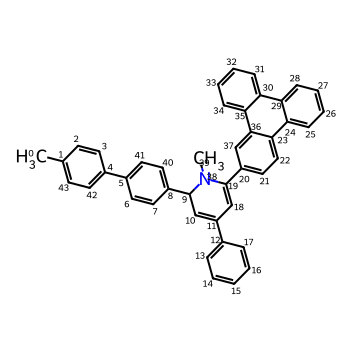 Cc1ccc(-c2ccc(C3C=C(c4ccccc4)C=C(c4ccc5c6ccccc6c6ccccc6c5c4)N3C)cc2)cc1